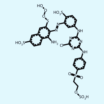 Nc1c(/N=N/c2cc(Nc3nc(Cl)nc(Nc4ccc(S(=O)(=O)CCOS(=O)(=O)O)cc4)n3)ccc2S(=O)(=O)O)c(SOOO)cc2cc(S(=O)(=O)O)ccc12